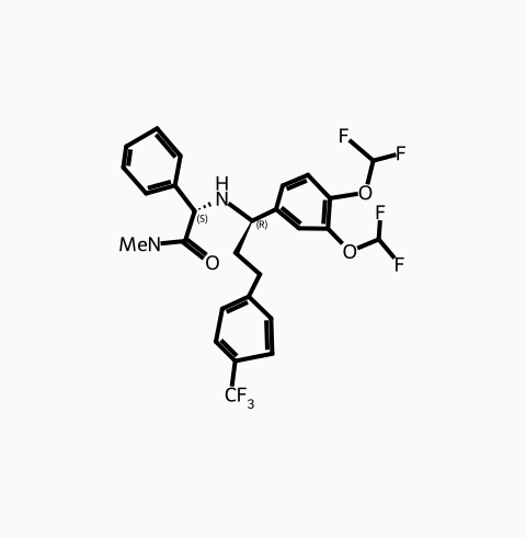 CNC(=O)[C@@H](N[C@H](CCc1ccc(C(F)(F)F)cc1)c1ccc(OC(F)F)c(OC(F)F)c1)c1ccccc1